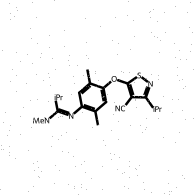 CNC(=Nc1cc(C)c(Oc2snc(C(C)C)c2C#N)cc1C)C(C)C